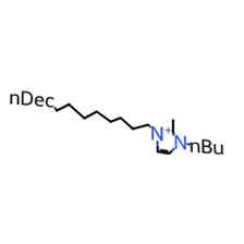 CCCCCCCCCCCCCCCCCC[n+]1ccn(CCCC)c1C